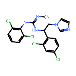 N#C/N=C(/Nc1c(Cl)cccc1Cl)NC(Cn1ccnc1)c1ccc(Cl)cc1Cl